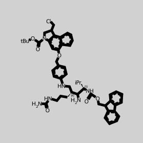 CC(C)[C@H](NC(=O)OCC1c2ccccc2-c2ccccc21)C(N)[C@H](CCCNC(N)=O)CNc1ccc(COc2cc3c(c4ccccc24)C(CCl)CN3C(=O)OC(C)(C)C)cc1